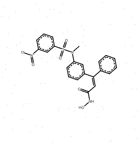 CN(c1cccc(/C(=C\C(=O)NO)c2ccccc2)c1)S(=O)(=O)c1cccc([N+](=O)[O-])c1